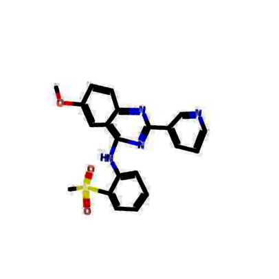 COc1ccc2nc(-c3cccnc3)nc(Nc3ccccc3S(C)(=O)=O)c2c1